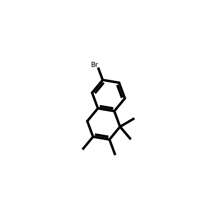 CC1=C(C)C(C)(C)c2ccc(Br)cc2C1